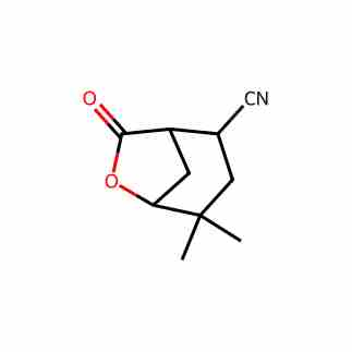 CC1(C)CC(C#N)C2CC1OC2=O